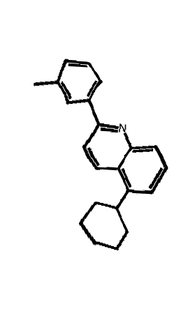 Cc1cccc(-c2ccc3c(C4CCCCC4)cccc3n2)c1